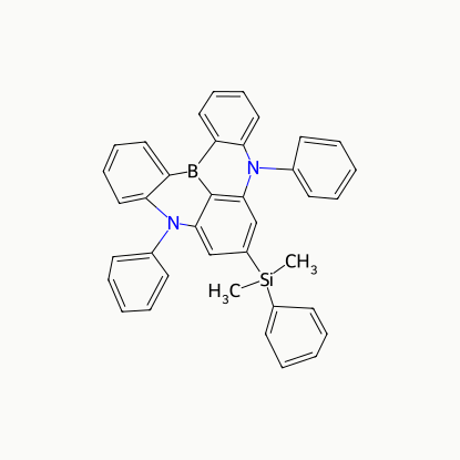 C[Si](C)(c1ccccc1)c1cc2c3c(c1)N(c1ccccc1)c1ccccc1B3c1ccccc1N2c1ccccc1